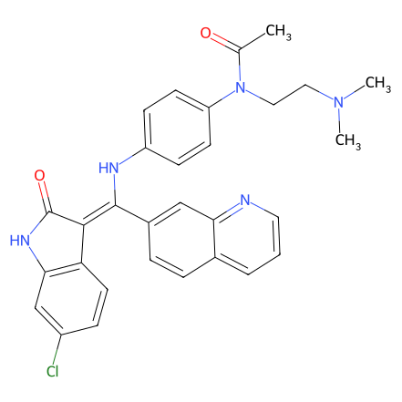 CC(=O)N(CCN(C)C)c1ccc(N/C(=C2\C(=O)Nc3cc(Cl)ccc32)c2ccc3cccnc3c2)cc1